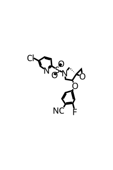 N#Cc1ccc(O[C@H]2CN(S(=O)(=O)c3ccc(Cl)cn3)C[C@@]23CO3)cc1F